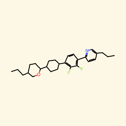 CCCc1ccc(-c2ccc(C3CCC(C4CCC(CCC)CO4)CC3)c(F)c2F)nc1